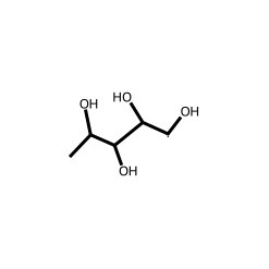 CC(O)C(O)C(O)[CH]O